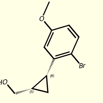 COc1ccc(Br)c([C@@H]2C[C@@H]2CO)c1